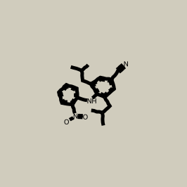 CC(C)Cc1cc(C#N)cc(CC(C)C)c1Nc1ccccc1[N+](=O)[O-]